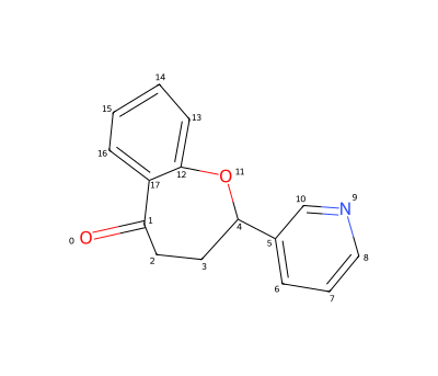 O=C1CCC(c2cccnc2)Oc2ccccc21